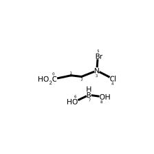 O=C(O)CCN(Cl)Br.OBO